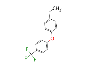 [CH2]Cc1ccc(Oc2ccc(C(F)(F)F)cc2)cc1